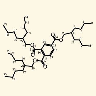 CCCCC(CCCC)COC(=O)c1ccc(C(=O)OCC(CCCC)CCCC)c(C(=O)OCC(CCCC)CCCC)c1